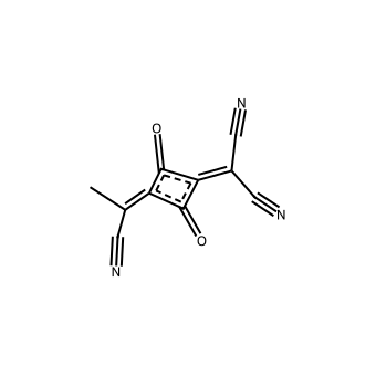 CC(C#N)=c1c(=O)c(=C(C#N)C#N)c1=O